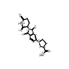 O=C1CCC(N2C(=O)c3ccc(N4CCC(C(=O)O)C4)cc3C2=O)C(=O)N1